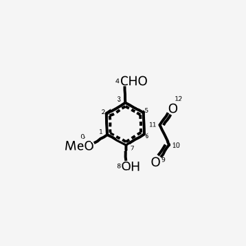 COc1cc(C=O)ccc1O.O=CC=O